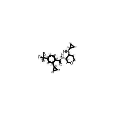 O=C(N[C@@H]1COCC[C@H]1NC1CC1)c1ccc(C(F)(F)F)cc1C1CC1